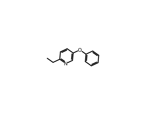 CCc1ccc(Oc2ccccc2)cn1